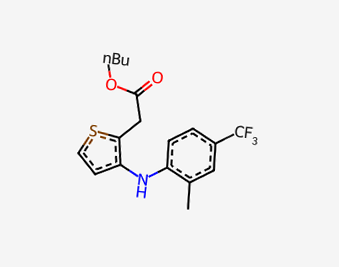 CCCCOC(=O)Cc1sccc1Nc1ccc(C(F)(F)F)cc1C